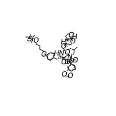 CC(C)CN(C[C@@H](O)[C@H](Cc1ccc(OCCCCO[Si](C)(C)C(C)(C)C)cc1)NC(=O)O[C@H]1CO[C@H]2OCC[C@H]21)S(=O)(=O)c1ccc2c(c1)OCO2